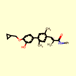 C/C(=C\c1cc(C)c(-c2ccc(OCC3CC3)c(O)c2)cc1C)C(=O)NC(C)C